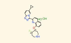 Cl.Cl.F[C@@H]1CCNCC[C@H]1Oc1cccc2ccc(-c3nnc4ccc(C5CC5)cn34)nc12